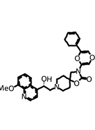 COc1cccc2c([C@H](O)CN3CCC4(CC3)CN(C3=COC=C(C5=CC=CCC5)O3)C(=O)O4)ccnc12